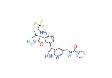 CC(C)[C@](NCC(F)(F)F)(C(N)=O)c1cncc(-c2c[nH]c3ncc(CNC(=O)N4CCCC4)cc23)c1